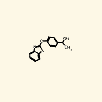 CC(O)c1ccc(Oc2nc3ccccc3s2)cc1